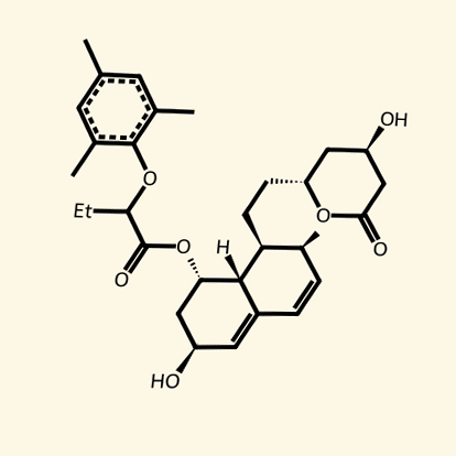 CCC(Oc1c(C)cc(C)cc1C)C(=O)O[C@H]1C[C@H](O)C=C2C=C[C@H](C)[C@H](CC[C@@H]3C[C@@H](O)CC(=O)O3)[C@H]21